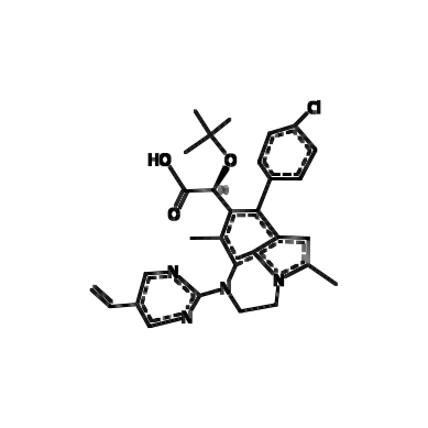 C=Cc1cnc(N2CCn3c(C)cc4c(-c5ccc(Cl)cc5)c([C@H](OC(C)(C)C)C(=O)O)c(C)c2c43)nc1